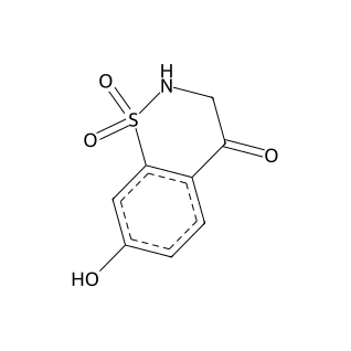 O=C1CNS(=O)(=O)c2cc(O)ccc21